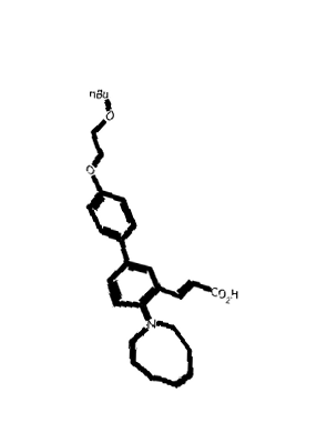 CCCCOCCOc1ccc(-c2ccc(N3CCCCCCC3)c(C=CC(=O)O)c2)cc1